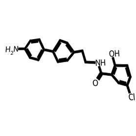 Nc1ccc(-c2ccc(CCNC(=O)c3cc(Cl)ccc3O)cc2)cc1